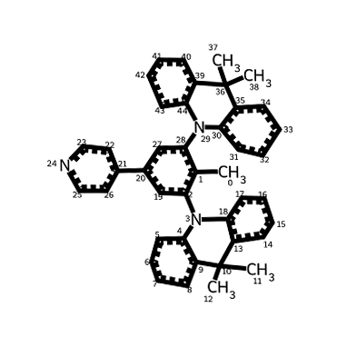 Cc1c(N2c3ccccc3C(C)(C)c3ccccc32)cc(-c2ccncc2)cc1N1c2ccccc2C(C)(C)c2ccccc21